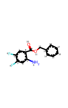 Nc1cc(F)c(F)cc1C(=O)OCc1ccccc1